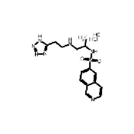 CC(CNCCc1nnn[nH]1)NS(=O)(=O)c1ccc2cnccc2c1.Cl.Cl